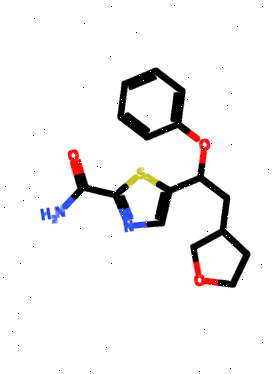 NC(=O)c1ncc(C(CC2CCOC2)Oc2ccccc2)s1